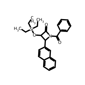 CC[Si](CC)(CC)OC1C(=O)N(C(=O)c2ccccc2)C1c1ccc2ccccc2c1